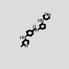 Cc1cc(Nc2ccc(C(=O)Nc3cccc(Nc4ccnnc4)c3)cc2)ccn1